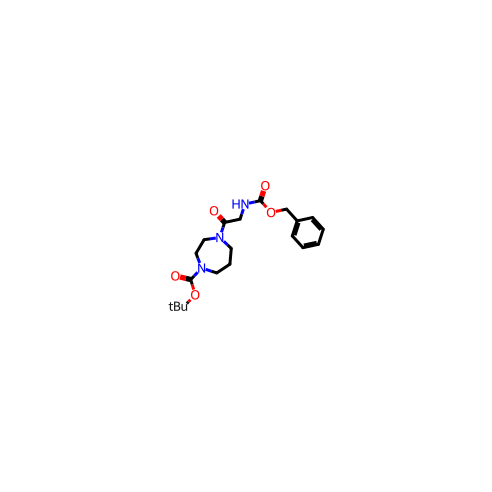 CC(C)(C)OC(=O)N1CCCN(C(=O)CNC(=O)OCc2ccccc2)CC1